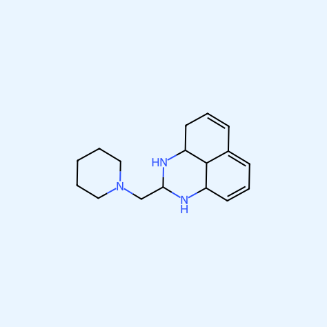 C1=CC2NC(CN3CCCCC3)NC3CC=CC(=C1)C23